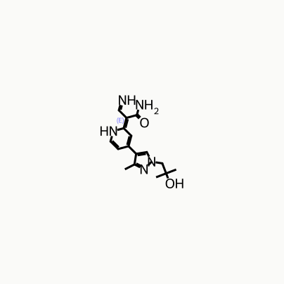 Cc1nn(CC(C)(C)O)cc1C1=C/C(=C(/C=N)C(N)=O)NC=C1